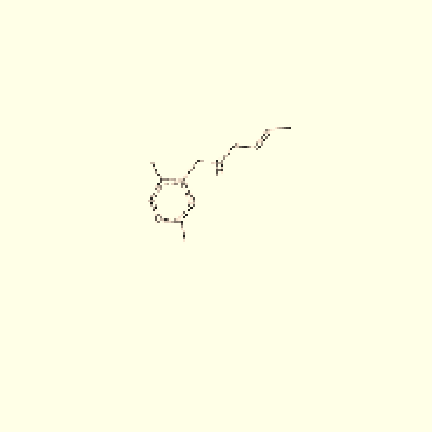 CC=CCNCc1cc(C)ccc1C